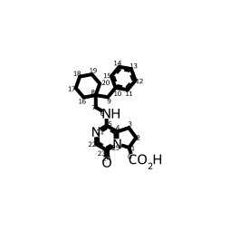 O=C(O)C1CCc2c(NCC3(Cc4ccccc4)CCCCC3)ncc(=O)n21